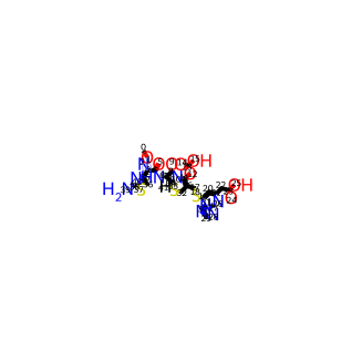 CO/N=C(\C(=O)N[C@@H]1C(=O)N2C(OC(=O)O)=C(CSc3cc(CC(=O)O)nc4ncnn34)CS[C@H]12)c1csc(N)n1